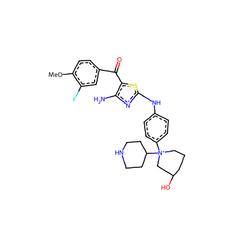 COc1ccc(C(=O)c2sc(Nc3ccc([N+]4(C5CCNCC5)CCCC(O)C4)cc3)nc2N)cc1F